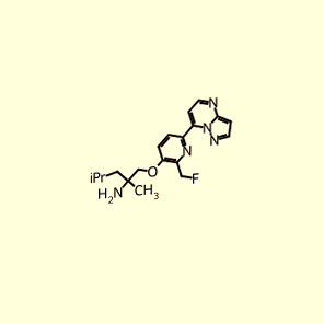 CC(C)CC(C)(N)COc1ccc(-c2ccnc3ccnn23)nc1CF